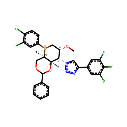 CO[C@H]1C[SH](c2ccc(Cl)c(Cl)c2)[C@@H]2COC(c3ccccc3)O[C@@H]2[C@H]1n1cc(-c2cc(F)c(F)c(F)c2)nn1